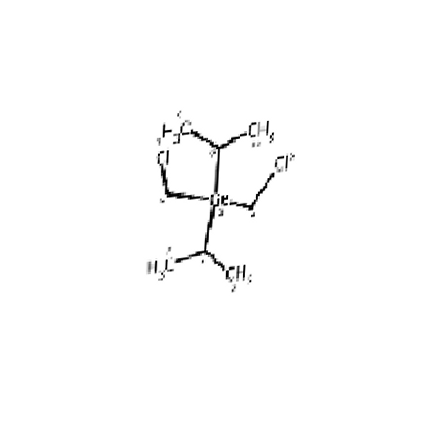 C[CH](C)[Ge]([CH2]Cl)([CH2]Cl)[CH](C)C